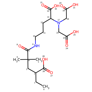 CCC(CC(C)(C)C(=O)NCCCC(C(=O)O)N(CC(=O)O)CC(=O)O)C(=O)O